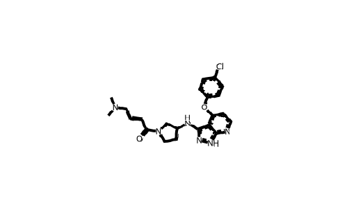 CN(C)CC=CC(=O)N1CCC(Nc2n[nH]c3nccc(Oc4ccc(Cl)cc4)c23)C1